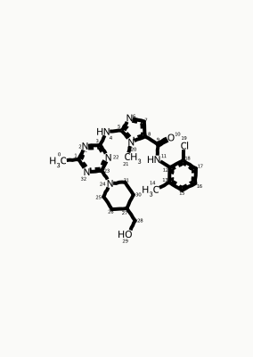 Cc1nc(Nc2ncc(C(=O)Nc3c(C)cccc3Cl)n2C)nc(N2CCC(CO)CC2)n1